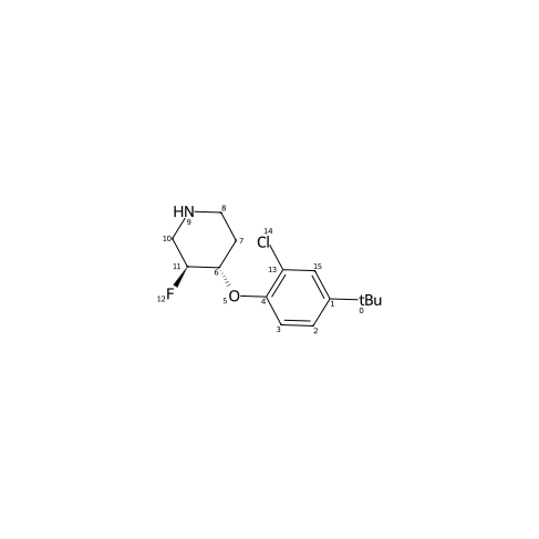 CC(C)(C)c1ccc(O[C@H]2CCNC[C@@H]2F)c(Cl)c1